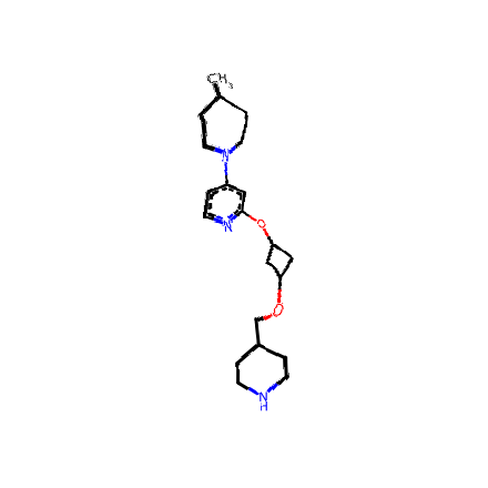 CC1CCN(c2ccnc(OC3CC(OCC4CCNCC4)C3)c2)CC1